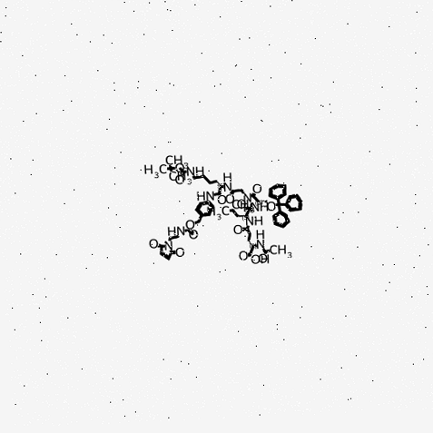 CC(=O)N[C@@H](CCC(=O)N[C@@H](CC(C)C)C(=O)N[C@@H](COC(c1ccccc1)(c1ccccc1)c1ccccc1)C(=O)NCC(=O)N[C@@H](CCCCNC(=O)OC(C)(C)C)C(=O)Nc1ccc(COC(=O)NCCN2C(=O)C=CC2=O)cc1)C(=O)O